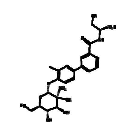 Cc1cc(-c2cccc(C(=O)N[C@@H](CO)C(=O)O)c2)ccc1O[C@H]1O[C@H](CO)[C@@H](O)[C@H](O)[C@]1(N)O